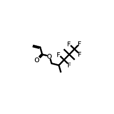 C=CC(=O)OCC(C)C(F)(F)C(C)(C)C(F)(F)F